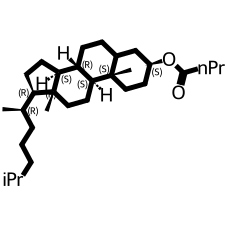 CCCC(=O)O[C@H]1CC[C@@]2(C)C(CC[C@H]3[C@@H]4CC[C@H]([C@H](C)CCCC(C)C)[C@@]4(C)CC[C@@H]32)C1